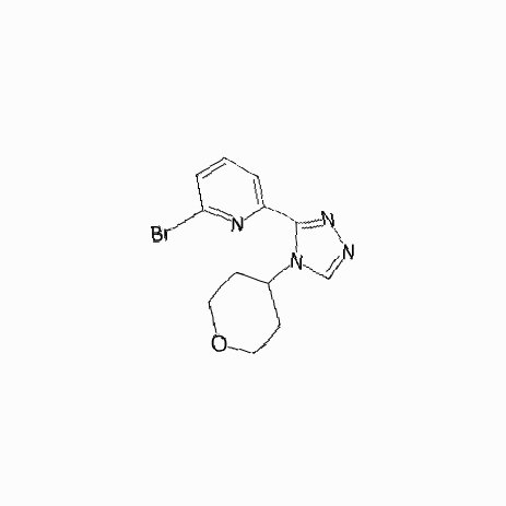 Brc1cccc(-c2nncn2C2CCOCC2)n1